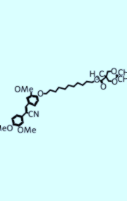 COc1ccc(C(C#N)=Cc2ccc(OCCCCCCCCCCCOC(=O)C3(C)COC(C)(C)OC3)c(OC)c2)cc1OC